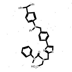 CCCC(CCC)c1ccc(N(Cc2ccc(-c3csc(CN(CC(=O)O)C(=O)N(C)c4ccccc4)n3)cc2)C(C)C)cc1